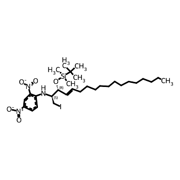 CCCCCCCCCCCCCC=C[C@@H](O[Si](C)(C)C(C)(C)C)[C@@H](CI)Nc1ccc([N+](=O)[O-])cc1[N+](=O)[O-]